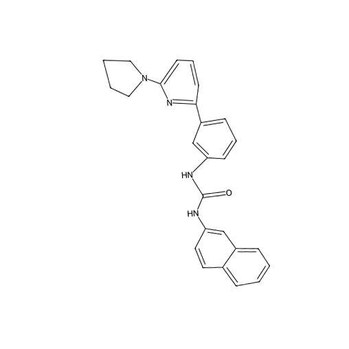 O=C(Nc1cccc(-c2cccc(N3CCCC3)n2)c1)Nc1ccc2ccccc2c1